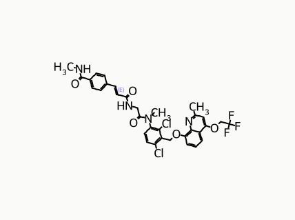 CNC(=O)c1ccc(/C=C/C(=O)NCC(=O)N(C)c2ccc(Cl)c(COc3cccc4c(OCC(F)(F)F)cc(C)nc34)c2Cl)cc1